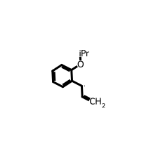 C=C[CH]c1ccccc1OC(C)C